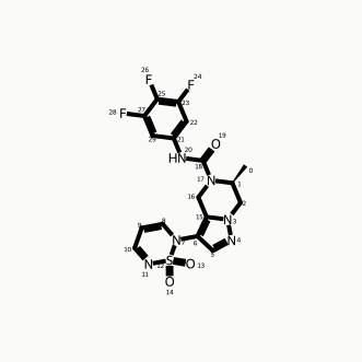 C[C@H]1Cn2ncc(N3C=CC=NS3(=O)=O)c2CN1C(=O)Nc1cc(F)c(F)c(F)c1